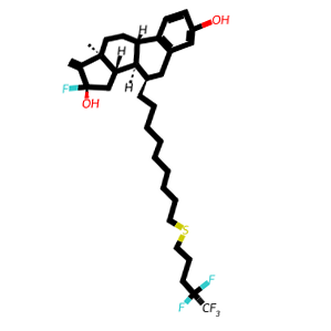 C=C1[C@@](O)(F)C[C@H]2[C@@H]3[C@H](CCCCCCCCCSCCCC(F)(F)C(F)(F)F)Cc4cc(O)ccc4[C@H]3CC[C@]12C